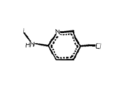 Clc1ccc(NI)nc1